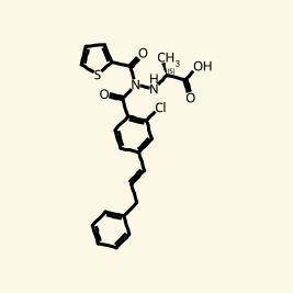 C[C@H](NN(C(=O)c1cccs1)C(=O)c1ccc(C=CCc2ccccc2)cc1Cl)C(=O)O